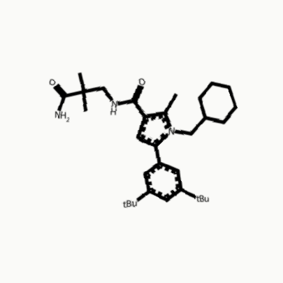 Cc1c(C(=O)NCC(C)(C)C(N)=O)cc(-c2cc(C(C)(C)C)cc(C(C)(C)C)c2)n1CC1CCCCC1